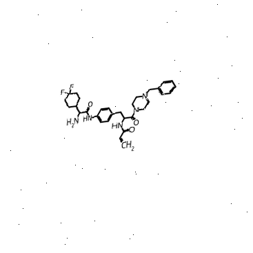 C=CC(=O)NC(Cc1ccc(NC(=O)C(N)C2CCC(F)(F)CC2)cc1)C(=O)N1CCN(Cc2ccccc2)CC1